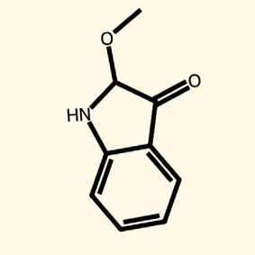 COC1Nc2ccccc2C1=O